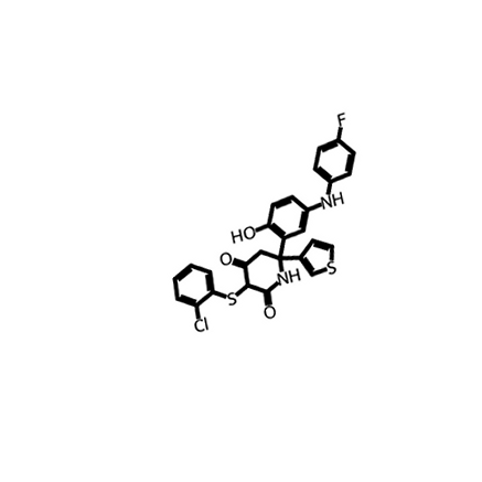 O=C1CC(c2ccsc2)(c2cc(Nc3ccc(F)cc3)ccc2O)NC(=O)C1Sc1ccccc1Cl